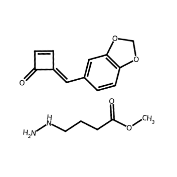 COC(=O)CCCNN.O=C1C=CC1=Cc1ccc2c(c1)OCO2